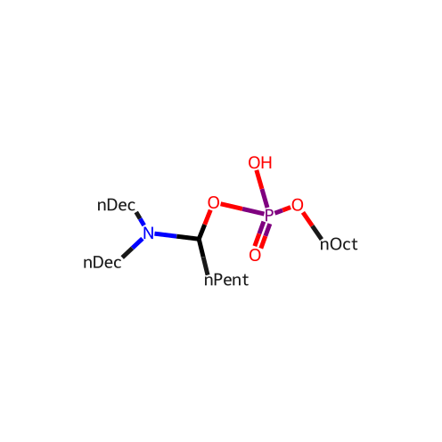 CCCCCCCCCCN(CCCCCCCCCC)C(CCCCC)OP(=O)(O)OCCCCCCCC